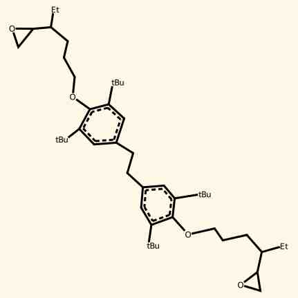 CCC(CCCOc1c(C(C)(C)C)cc(CCc2cc(C(C)(C)C)c(OCCCC(CC)C3CO3)c(C(C)(C)C)c2)cc1C(C)(C)C)C1CO1